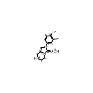 Cc1cc(N2CC3CNCCN3C2=O)ccc1F.Cl